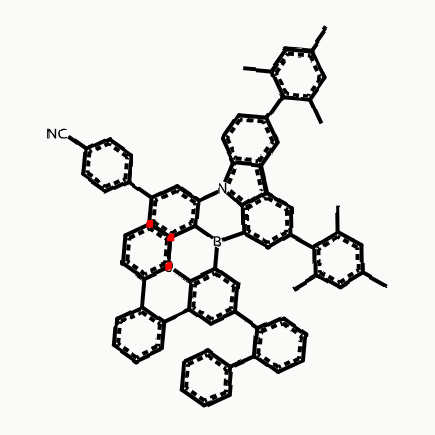 Cc1cc(C)c(-c2ccc3c(c2)c2cc(-c4c(C)cc(C)cc4C)cc4c2n3-c2cc(-c3ccc(C#N)cc3)cc3c2B4c2cc(-c4ccccc4-c4ccccc4)cc(-c4ccccc4-c4ccccc4)c2O3)c(C)c1